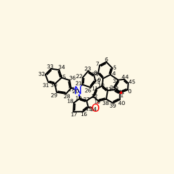 c1ccc(-c2ccccc2-c2cc3c(oc4cccc(N(c5ccccc5)c5ccc6ccccc6c5)c43)c3ccccc23)cc1